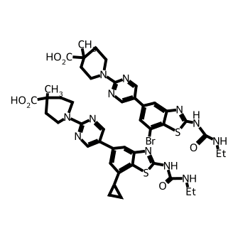 CCNC(=O)Nc1nc2cc(-c3cnc(N4CCC(C)(C(=O)O)CC4)nc3)cc(Br)c2s1.CCNC(=O)Nc1nc2cc(-c3cnc(N4CCC(C)(C(=O)O)CC4)nc3)cc(C3CC3)c2s1